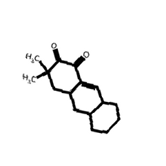 CC1(C)CC2CC3CCCCC3C=C2C(=O)C1=O